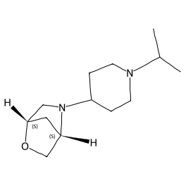 CC(C)N1CCC(N2C[C@@H]3C[C@H]2CO3)CC1